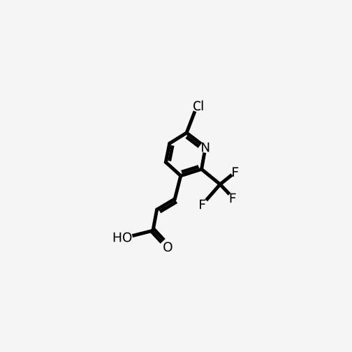 O=C(O)C=Cc1ccc(Cl)nc1C(F)(F)F